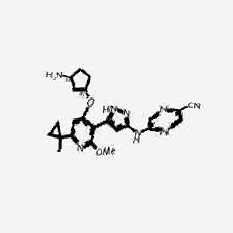 COc1nc(C2(C)CC2)cc(O[C@@H]2CC[C@H](N)C2)c1-c1cc(Nc2cnc(C#N)cn2)n[nH]1